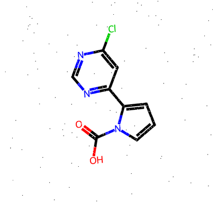 O=C(O)n1cccc1-c1cc(Cl)ncn1